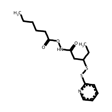 CCCCCC(=O)ONC(=O)CC(CC)SSc1ccccn1